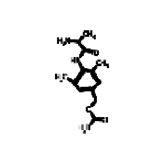 BC(=O)OCc1cc(C)c(NC(=O)C(C)N)c(C)c1